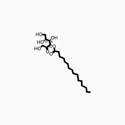 CCCCCCCCCCCCCCCC(=O)O[C@H](C(=O)CO)[C@H](O)[C@@H](O)CO